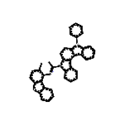 C/C(=N\c1c(C)ccc2sc3ccccc3c12)n1c2ccccc2c2c3c4ccccc4n(-c4ccccc4)c3ccc21